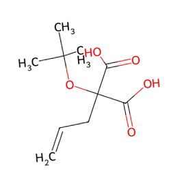 C=CCC(OC(C)(C)C)(C(=O)O)C(=O)O